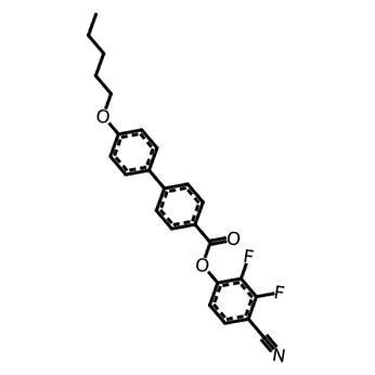 CCCCCOc1ccc(-c2ccc(C(=O)Oc3ccc(C#N)c(F)c3F)cc2)cc1